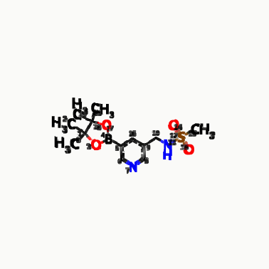 CC1(C)OB(c2cncc(CNS(C)(=O)=O)c2)OC1(C)C